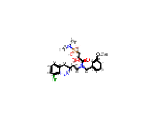 CCCN(CCC)S(=O)(=O)CCC(=O)N(Cc1cccc(OC)c1)C[C@@H](O)[C@@H](N)Cc1cccc(Br)c1